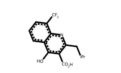 CC(C)Cc1nc2c(C(F)(F)F)cccc2c(O)c1C(=O)O